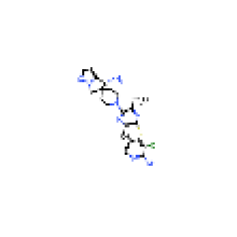 CCOC(=O)c1nc(Sc2ccnc(N)c2Cl)c(C)nc1N1CCC2(CC1)Cn1nccc1[C@@H]2N